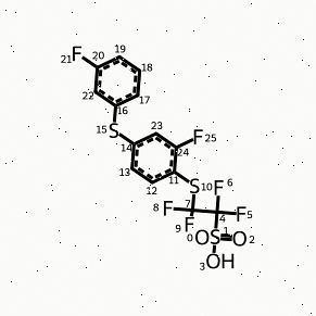 O=S(=O)(O)C(F)(F)C(F)(F)Sc1ccc(Sc2cccc(F)c2)cc1F